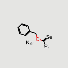 CCC(=[Se])OCc1ccccc1.[Na]